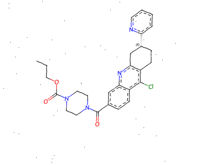 CCCOC(=O)N1CCN(C(=O)c2ccc3c(Cl)c4c(nc3c2)C[C@H](c2ccccn2)CC4)CC1